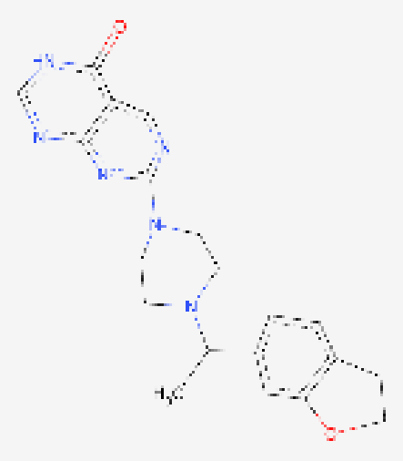 CC(c1ccc2c(c1)OCC2)N1CCN(c2ncc3c(=O)[nH]cnc3n2)CC1